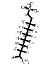 CC(F)C(F)(F)C(F)(F)C(F)(F)C(F)(F)C(F)(F)C(F)(F)CC[Si](Cl)(Cl)Cl